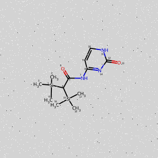 C[Si](C)(C)C(C(=O)Nc1cc[nH]c(=O)n1)[Si](C)(C)C